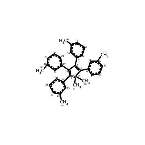 Cc1cccc(C2=C(c3cccc(C)c3)[Si](C)(C)C(c3cccc(C)c3)=C2c2cccc(C)c2)c1